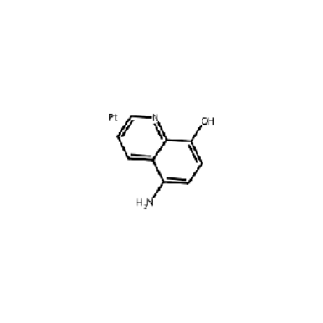 Nc1ccc(O)c2ncccc12.[Pt]